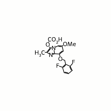 COc1cc(OCc2c(F)cccc2F)c2nc(C)c(OC(=O)O)n2c1